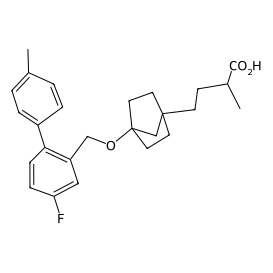 Cc1ccc(-c2ccc(F)cc2COC23CCC(CCC(C)C(=O)O)(CC2)C3)cc1